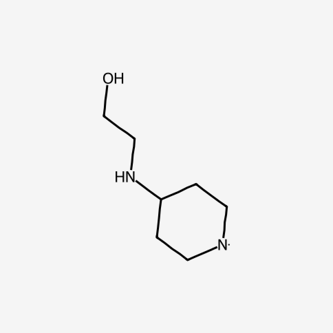 OCCNC1CC[N]CC1